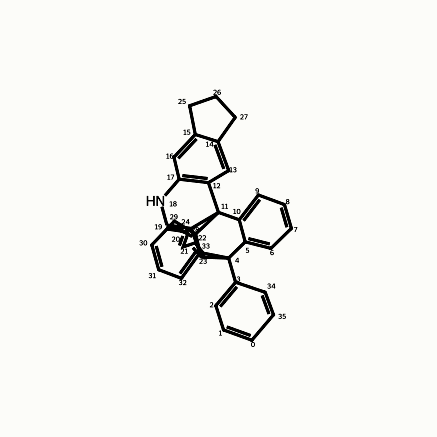 c1ccc(C23c4ccccc4C4(c5cc6c(cc5Nc5cccc2c54)CCC6)c2ccccc23)cc1